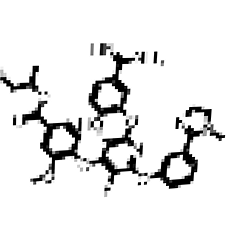 COc1cc(C(=O)OC(C)CCl)ccc1Oc1c(F)c(Oc2cccc(C3=NCCN3C)c2)nc(Oc2cc(C(=N)N)ccc2O)c1F